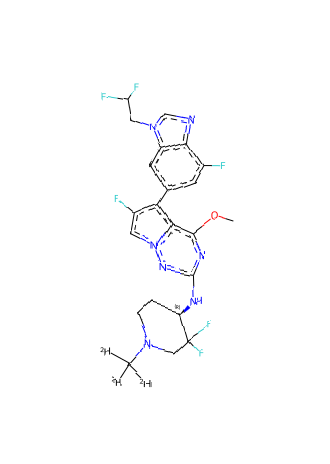 [2H]C([2H])([2H])N1CC[C@@H](Nc2nc(OC)c3c(-c4cc(F)c5ncn(CC(F)F)c5c4)c(F)cn3n2)C(F)(F)C1